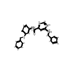 O=C(Nc1cccc(OCc2ccccc2)c1)c1cc(NCc2ccccc2)ncn1